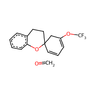 C=O.FC(F)(F)OC1=CC=CC2(CCc3ccccc3O2)C1